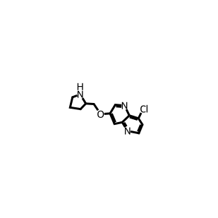 Clc1ccnc2cc(OCC3CCCN3)cnc12